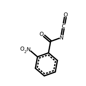 O=C=NC(=O)c1ccccc1[N+](=O)[O-]